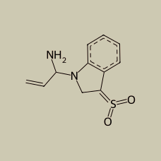 C=CC(N)N1CC(=S(=O)=O)c2ccccc21